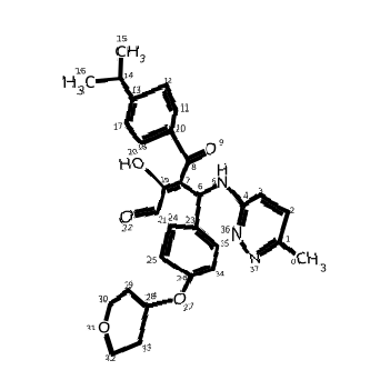 Cc1ccc(NC(/C(C(=O)c2ccc(C(C)C)cc2)=C(/O)C=O)c2ccc(OC3CCOCC3)cc2)nn1